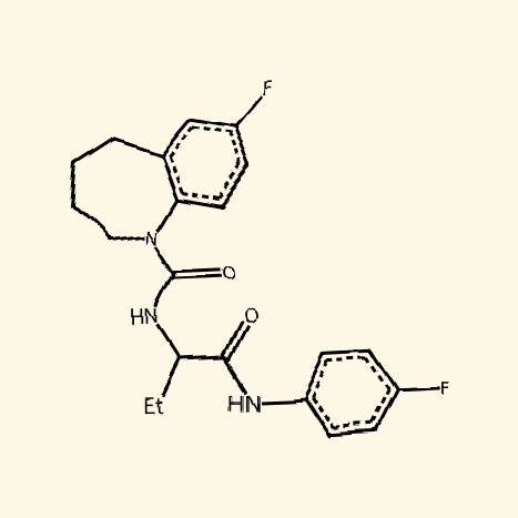 CCC(NC(=O)N1CCCCc2cc(F)ccc21)C(=O)Nc1ccc(F)cc1